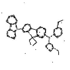 CCc1cccc(N(c2cccc(CC)c2)c2ccc3c(c2)C(CC)(CC)c2cc(-n4c5ccccc5c5ccccc54)ccc2-3)c1